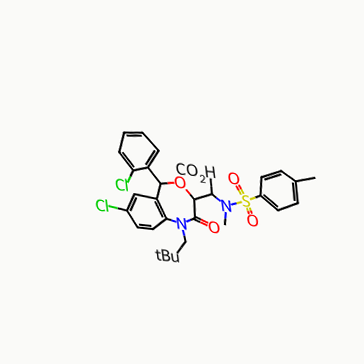 Cc1ccc(S(=O)(=O)N(C)C(C(=O)O)C2OC(c3ccccc3Cl)c3cc(Cl)ccc3N(CC(C)(C)C)C2=O)cc1